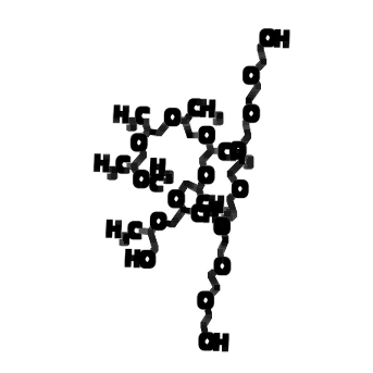 COC(C)COC(C)COC(C)COC(C)COC(C)COC(C)COC(C)CO.OCCOCCOCCOCCOCCOCCOCCOCCO